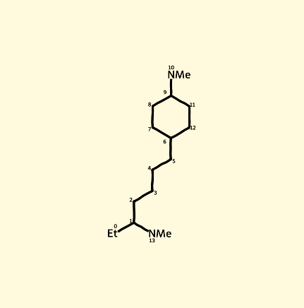 CCC(CCCCC1CCC(NC)CC1)NC